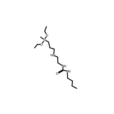 CCCCNC(=O)NCCNCCC[Si](C)(OCC)OCC